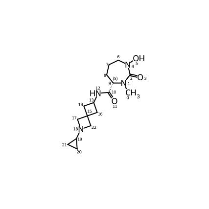 CN1C(=O)N(O)CCC[C@H]1C(=O)NC1CC2(C1)CN(C1CC1)C2